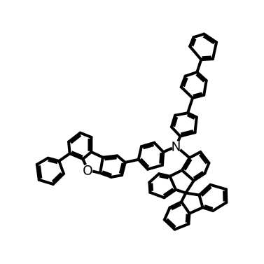 c1ccc(-c2ccc(-c3ccc(N(c4ccc(-c5ccc6oc7c(-c8ccccc8)cccc7c6c5)cc4)c4cccc5c4-c4ccccc4C54c5ccccc5-c5ccccc54)cc3)cc2)cc1